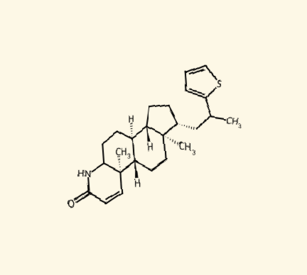 CC(C[C@H]1CC[C@H]2[C@@H]3CCC4NC(=O)C=C[C@]4(C)[C@H]3CC[C@]12C)c1cccs1